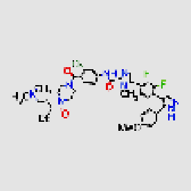 CCC(CCN(C)C)C(=O)N1CCN(C(=O)c2ccc(NC(=O)c3ncc(-c4ccc(-c5cn[nH]c5-c5ccc(OC)cc5)c(F)c4F)n3C)cc2Cl)CC1